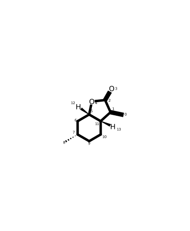 C=C1C(=O)O[C@H]2C[C@@H](C)CC[C@@H]12